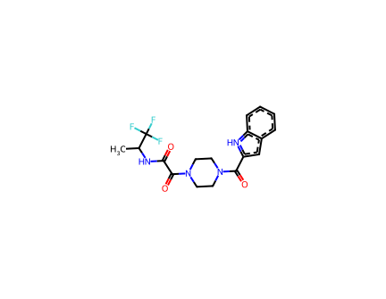 CC(NC(=O)C(=O)N1CCN(C(=O)c2cc3ccccc3[nH]2)CC1)C(F)(F)F